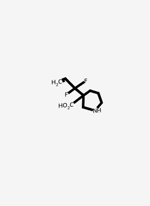 C=CC(F)(F)C1(C(=O)O)CCCNC1